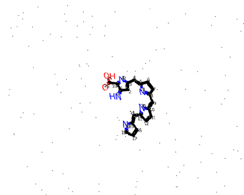 N=C1C=C(C=C2C=CC(C=C3C=CC(C=C4C=CC=N4)=N3)=N2)N=C1C(=O)O